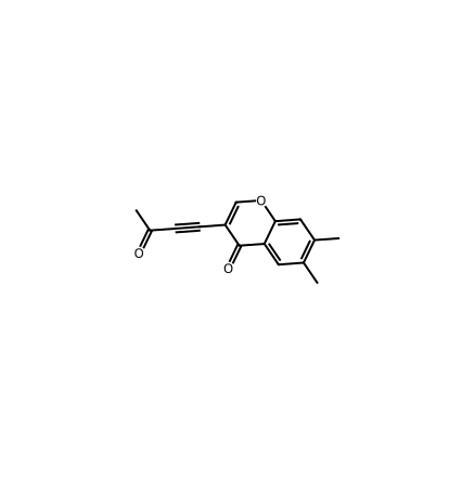 CC(=O)C#Cc1coc2cc(C)c(C)cc2c1=O